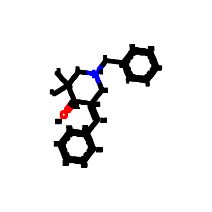 CC1(C)CN(Cc2ccccc2)CC(=Cc2ccccc2)C1=O